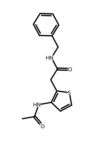 CC(=O)Nc1ccsc1CC(=O)NCc1ccccc1